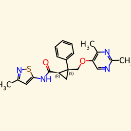 Cc1cc(NC(=O)[C@@H]2C[C@@]2(COc2cnc(C)nc2C)c2ccccc2)sn1